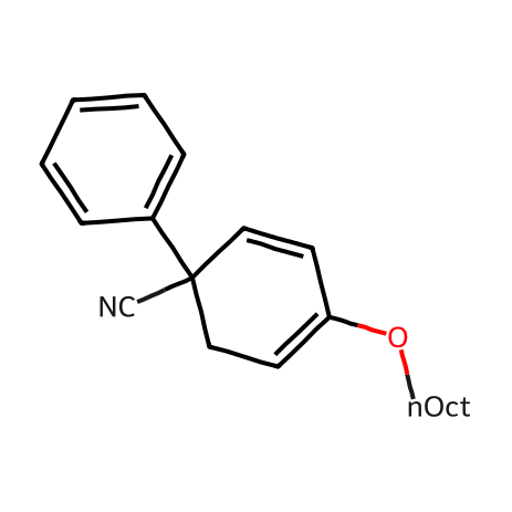 CCCCCCCCOC1=CCC(C#N)(c2ccccc2)C=C1